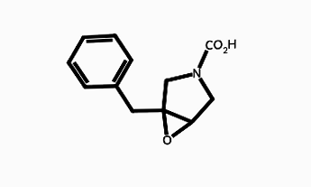 O=C(O)N1CC2OC2(Cc2ccccc2)C1